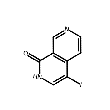 O=c1[nH]cc(I)c2ccncc12